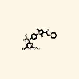 CCc1cc(N(c2ccc(-n3c(C)cc(C(=O)CN4CCCCC4)c3C)cc2)[SH](=O)=O)nc(OC)n1